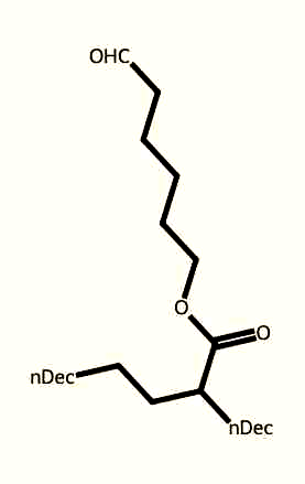 CCCCCCCCCCCCC(CCCCCCCCCC)C(=O)OCCCCCC=O